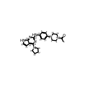 CC(=O)N1CCN(c2ccc(Nc3nc(N4CCCC4)c4cc[nH]c4n3)cc2)CC1